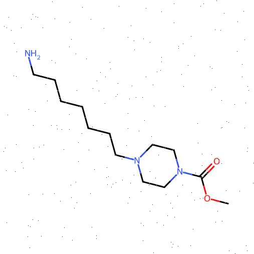 COC(=O)N1CCN(CCCCCCCN)CC1